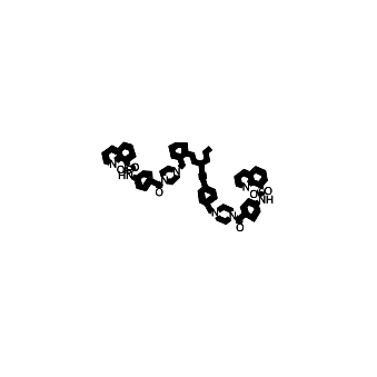 CCCC(C#Cc1ccc(CN2CCN(C(=O)c3ccc(NS(=O)(=O)c4cccc5cccnc45)cc3)CC2)cc1)CCc1ccccc1CN1CCN(C(=O)c2ccc(NS(=O)(=O)c3cccc4cccnc34)cc2)CC1